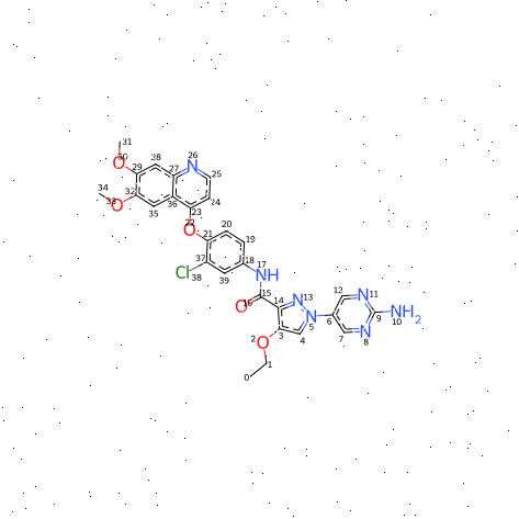 CCOc1cn(-c2cnc(N)nc2)nc1C(=O)Nc1ccc(Oc2ccnc3cc(OC)c(OC)cc23)c(Cl)c1